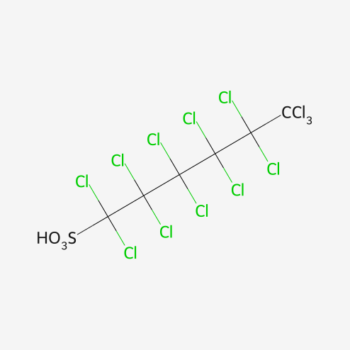 O=S(=O)(O)C(Cl)(Cl)C(Cl)(Cl)C(Cl)(Cl)C(Cl)(Cl)C(Cl)(Cl)C(Cl)(Cl)Cl